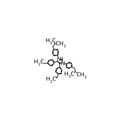 C=Cc1ccc(-c2c(-c3ccc(C=C)cc3)[n+](-c3ccc(CC(C)C)cc3)cn2-c2ccc(CC(C)C)cc2)cc1